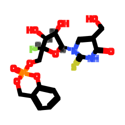 O=c1[nH]c(=S)n([C@@H]2O[C@](F)(COP3(=O)OCc4ccccc4O3)[C@@H](O)[C@H]2O)cc1CO